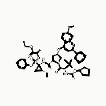 C=C[C@@H]1C[C@]1(NC(=O)[C@@H]1C[C@@H](Oc2cc(-c3ccccc3)nc3cc(OC)ccc23)CN1C(=O)[C@@H](NC(=O)OC1CCCC1)C(C)(C)C)P(=O)(Oc1ccccc1)OC(C)C(=O)OCC